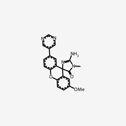 COc1ccc2c(c1)C1(N=C(N)N(C)C1=O)c1cc(-c3cncnc3)ccc1O2